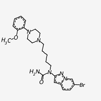 COc1ccccc1N1CCN(CCCCCN(C(N)=O)c2cc3ccc(Br)cn3n2)CC1